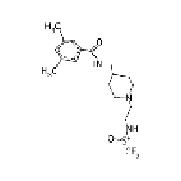 Cc1cc(C)cc(C(=O)NCC2CCN(CCN[S+]([O-])C(F)(F)F)CC2)c1